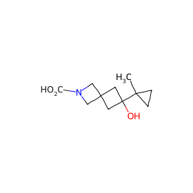 CC1(C2(O)CC3(CN(C(=O)O)C3)C2)CC1